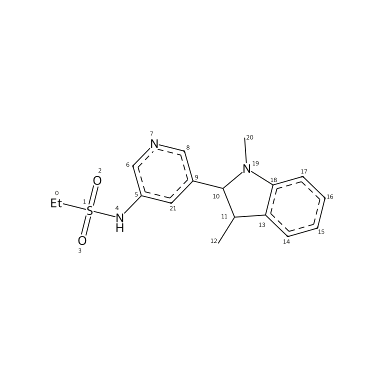 CCS(=O)(=O)Nc1cncc(C2C(C)c3ccccc3N2C)c1